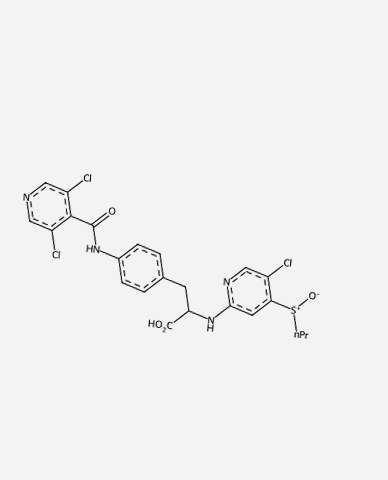 CCC[S+]([O-])c1cc(NC(Cc2ccc(NC(=O)c3c(Cl)cncc3Cl)cc2)C(=O)O)ncc1Cl